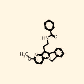 COc1ccc2c(n1)c(CCNC(=O)c1ccccc1)c1n2Cc2ccccc2-1